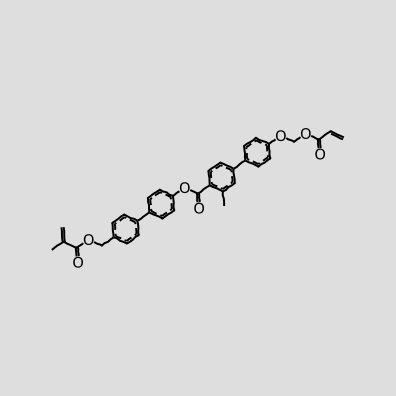 C=CC(=O)OCOc1ccc(-c2ccc(C(=O)Oc3ccc(-c4ccc(COC(=O)C(=C)C)cc4)cc3)c(C)c2)cc1